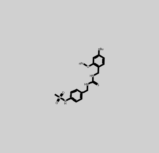 CCCCc1ccc(CNC(=S)NCc2ccc(NS(C)(=O)=O)cc2)c(OCCC)c1